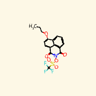 CCCOc1ccc2c3c(cccc13)C(=O)N(OS(=O)(=O)C(F)(F)F)C2=O